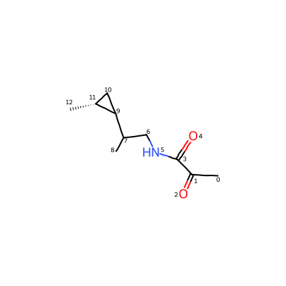 CC(=O)C(=O)NCC(C)C1C[C@H]1C